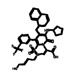 O=C(O)C1CN(CCCCO)S(=O)(=O)c2c(-c3cccc(C(F)(F)F)c3)c(Cc3cccc4ccccc34)c(NC3CCCC3)c(=O)n21